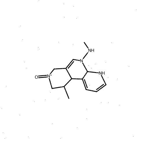 CNN1C=C2C[N+](=O)CC(C)C2C2=CC=CNC21